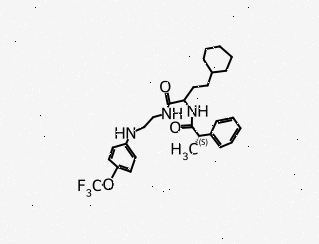 C[C@H](C(=O)NC(CCC1CCCCC1)C(=O)NCCNc1ccc(OC(F)(F)F)cc1)c1ccccc1